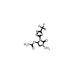 CC(=O)OC1CN(C)C(=O)N1c1nnc(C(F)(F)F)s1